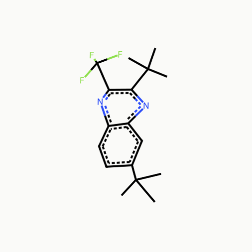 CC(C)(C)c1ccc2nc(C(F)(F)F)c(C(C)(C)C)nc2c1